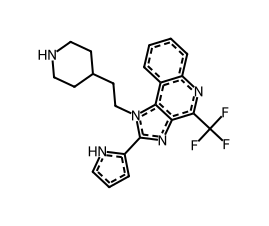 FC(F)(F)c1nc2ccccc2c2c1nc(-c1ccc[nH]1)n2CCC1CCNCC1